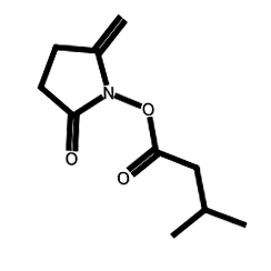 C=C1CCC(=O)N1OC(=O)CC(C)C